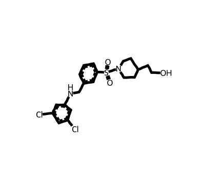 O=S(=O)(c1cccc(CNc2cc(Cl)cc(Cl)c2)c1)N1CCC(CCO)CC1